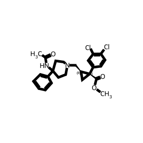 COC(=O)[C@@]1(c2ccc(Cl)c(Cl)c2)C[C@H]1CN1CCC(NC(C)=O)(c2ccccc2)CC1